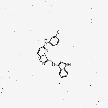 Clc1cccc(Nc2ccc3nnc(COc4c[nH]c5ccccc45)n3n2)c1